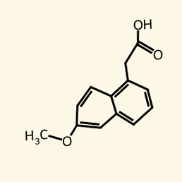 COc1ccc2c(CC(=O)O)cccc2c1